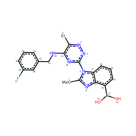 CCc1nnc(-n2c(OC)nc3c(B(O)O)cccc32)nc1NCc1cccc(F)c1